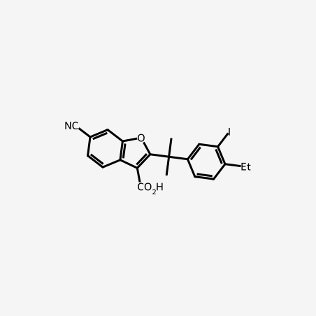 CCc1ccc(C(C)(C)c2oc3cc(C#N)ccc3c2C(=O)O)cc1I